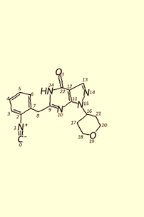 [C-]#[N+]c1ccccc1Cc1nc2c(cnn2C2CCOCC2)c(=O)[nH]1